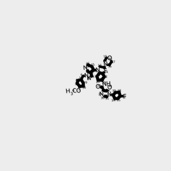 COc1ccc(Cn2ncc3c(N(CCN4CCOCC4)c4ccc(NC(=O)c5nccn(-c6ccc(F)cc6)c5=O)cc4F)ccnc32)cc1